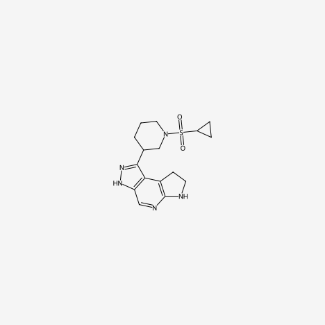 O=S(=O)(C1CC1)N1CCCC(c2n[nH]c3cnc4c(c23)CCN4)C1